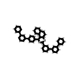 c1ccc(-c2cccc(-c3ccc(-c4nc(-c5cccc(-c6cccc(-c7ccccc7)c6)c5)nc5ccc6ccccc6c45)cc3)c2)cc1